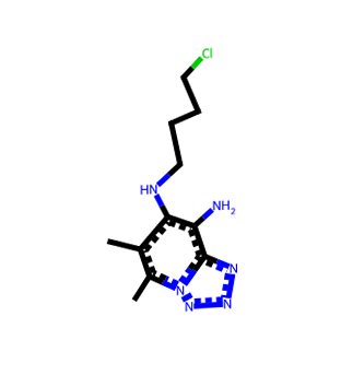 Cc1c(NCCCCCl)c(N)c2nnnn2c1C